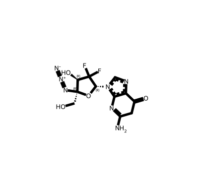 [N-]=[N+]=N[C@]1(CO)O[C@@H](n2cnc3c2N=C(N)CC3=O)C(F)(F)[C@@H]1O